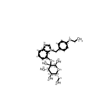 CCOc1ccc(Cn2cnc3cccc(O[C@]4(O)[C@@H](O)O[C@H](CO)[C@@H](O)[C@@H]4O)c32)cc1